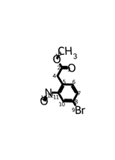 COC(=O)Cc1ccc(Br)cc1N=O